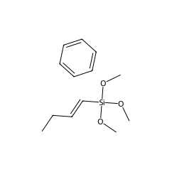 CCC=C[Si](OC)(OC)OC.c1ccccc1